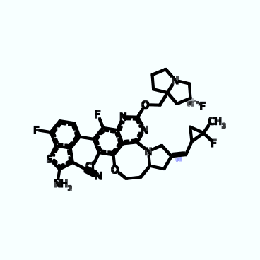 CC1(F)CC1/C=C1/CC2CCOc3c(Cl)c(-c4ccc(F)c5sc(N)c(C#N)c45)c(F)c4nc(OCC56CCCN5C[C@H](F)C6)nc(c34)N2C1